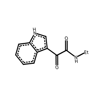 CCNC(=O)C(=O)c1c[nH]c2ccccc12